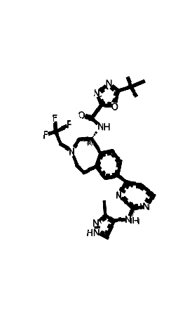 Cc1n[nH]cc1Nc1nccc(-c2ccc3c(c2)CCN(CC(F)(F)F)C[C@@H]3NC(=O)c2nnc(C(C)(C)C)o2)n1